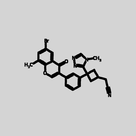 Cc1cc(Br)cc2c(=O)c(-c3cccc(C4(c5nncn5C)CC(CC#N)C4)c3)coc12